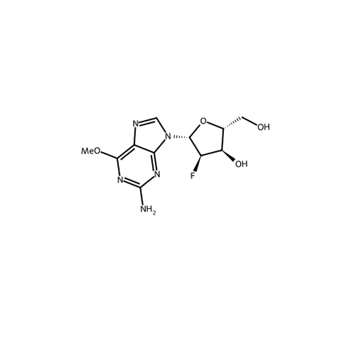 COc1nc(N)nc2c1ncn2[C@@H]1O[C@H](CO)[C@@H](O)[C@H]1F